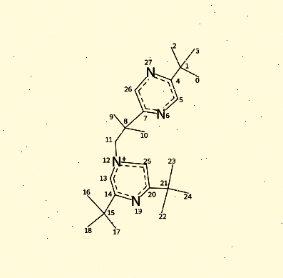 CC(C)(C)c1cnc(C(C)(C)C[n+]2cc(C(C)(C)C)nc(C(C)(C)C)c2)cn1